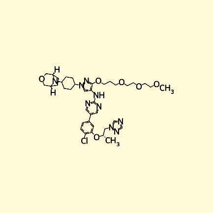 COCCOCCOCCCOc1nn(C2CCC(N3[C@@H]4CC[C@H]3COC4)CC2)cc1Nc1ncc(-c2ccc(Cl)c(O[C@@H](C)Cn3cncn3)c2)cn1